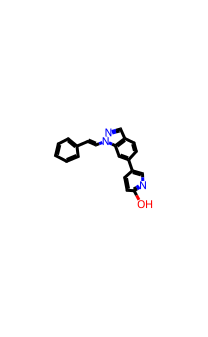 Oc1ccc(-c2ccc3cnn(C=Cc4ccccc4)c3c2)cn1